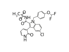 CS(=O)(=O)NC(=O)c1c(-c2ccc[nH]c2=O)c2cc(Cl)ccc2n1Cc1ccc(OC(F)F)cc1